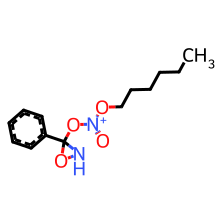 CCCCCCO[N+](=O)OC1(c2ccccc2)NO1